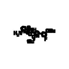 CC(C)COc1cc(F)cc(-c2ccc(C(=O)NS(=O)(=O)c3cccc(N)n3)c(OCC(C)(C)C)n2)c1